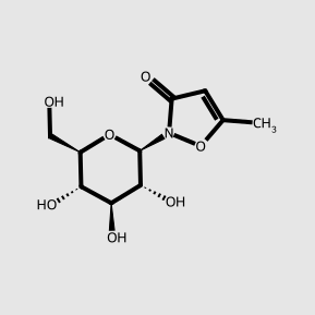 Cc1cc(=O)n([C@@H]2O[C@H](CO)[C@@H](O)[C@H](O)[C@H]2O)o1